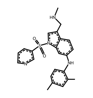 CNCc1cn(S(=O)(=O)c2cccnc2)c2cc(Nc3ccc(C)cc3C)ccc12